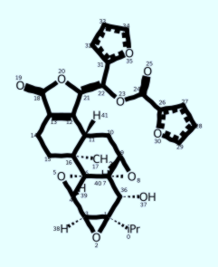 CC(C)[C@]12O[C@H]1[C@@H]1O[C@]13[C@]1(O[C@H]1C[C@H]1C4=C(CC[C@@]13C)C(=O)O/C4=C(/OC(=O)c1ccco1)c1ccco1)[C@@H]2O